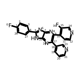 Fc1ccc(-c2nc3nc(-c4ccncc4F)c(-c4cccnc4)nc3[nH]2)cc1